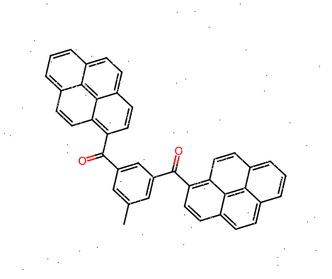 Cc1cc(C(=O)c2ccc3ccc4cccc5ccc2c3c45)cc(C(=O)c2ccc3ccc4cccc5ccc2c3c45)c1